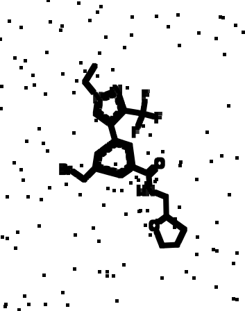 CCn1cc(-c2cc(CBr)cc(C(=O)NCC3CCCO3)c2)c(C(F)(F)F)n1